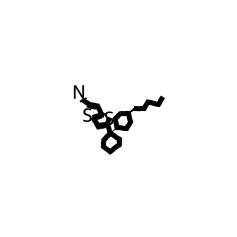 CCCCC[C@H]1CC[C@H](C2(c3cc4sc(C#N)cc4s3)CCCCC2)CC1